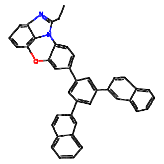 CCc1nc2cccc3c2n1-c1ccc(-c2cc(-c4ccc5ccccc5c4)cc(-c4ccc5ccccc5c4)c2)cc1O3